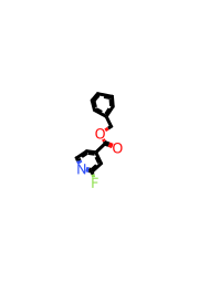 O=C(OCc1ccccc1)c1ccnc(F)c1